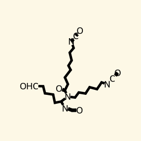 O=C=NCCCCCCCC(=O)N(CCCCCCN=C=O)C(CCCCC=O)N=C=O